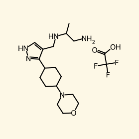 CC(CN)NCc1c[nH]nc1C1CCC(N2CCOCC2)CC1.O=C(O)C(F)(F)F